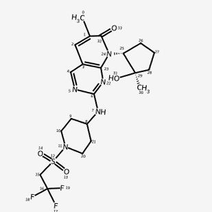 Cc1cc2cnc(NC3CCN(S(=O)(=O)CC(F)(F)F)CC3)nc2n([C@@H]2CCC[C@@]2(C)O)c1=O